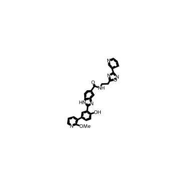 COc1ncccc1-c1ccc(O)c(-c2nc3cc(C(=O)NCCc4nc(-c5cccnc5)no4)ccc3[nH]2)c1